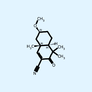 CO[C@H]1CC[C@H]2C(C)(C)C(=O)C(C#N)=C[C@]2(C)C1